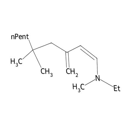 C=C(/C=C\N(C)CC)CC(C)(C)CCCCC